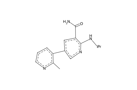 Cc1ncccc1-c1cnc(NC(C)C)c(C(N)=O)c1